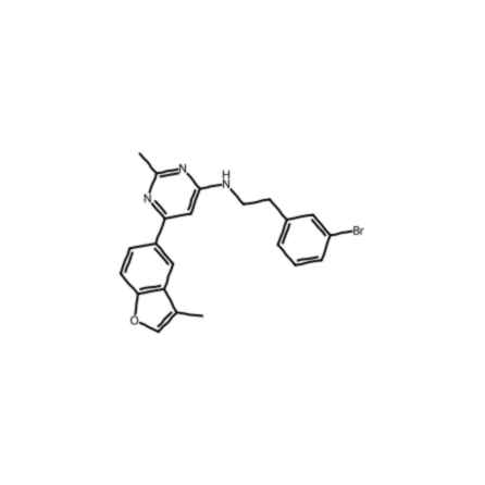 Cc1nc(NCCc2cccc(Br)c2)cc(-c2ccc3occ(C)c3c2)n1